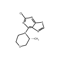 C[C@@H]1COCCN1c1nc(Cl)nc2scnc12